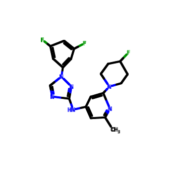 Cc1cc(Nc2ncn(-c3cc(F)cc(F)c3)n2)cc(N2CCC(F)CC2)n1